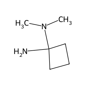 CN(C)C1(N)CCC1